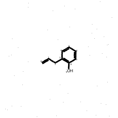 C=CCc1[c]cccc1O